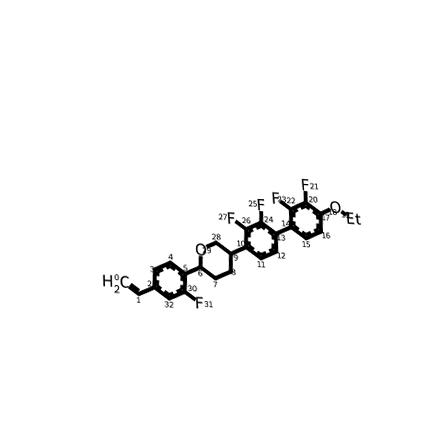 C=Cc1ccc(C2CCC(c3ccc(-c4ccc(OCC)c(F)c4F)c(F)c3F)CO2)c(F)c1